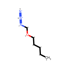 CCCCCOCN=[N+]=[N-]